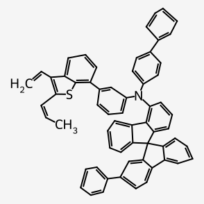 C=Cc1c(/C=C\C)sc2c(-c3cccc(N(c4ccc(-c5ccccc5)cc4)c4cccc5c4-c4ccccc4C54c5ccccc5-c5ccc(-c6ccccc6)cc54)c3)cccc12